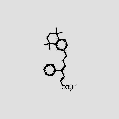 CC1(C)CCC(C)(C)c2cc(CC/C=C(/C=CC(=O)O)c3ccccc3)ccc21